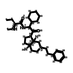 CC[C@H](NC)C(=O)NC(C(=O)N1CC[C@H]2CCN(CCc3ccccc3)C[C@H]21)C1CCCCC1